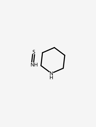 C1CCNCC1.N=S